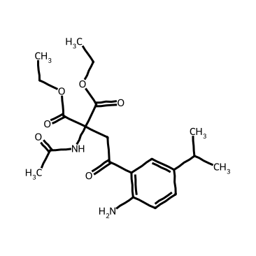 CCOC(=O)C(CC(=O)c1cc(C(C)C)ccc1N)(NC(C)=O)C(=O)OCC